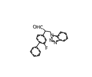 O=CC(Cn1nnc2ccccc21)c1ccc(-c2ccccc2)c(F)c1